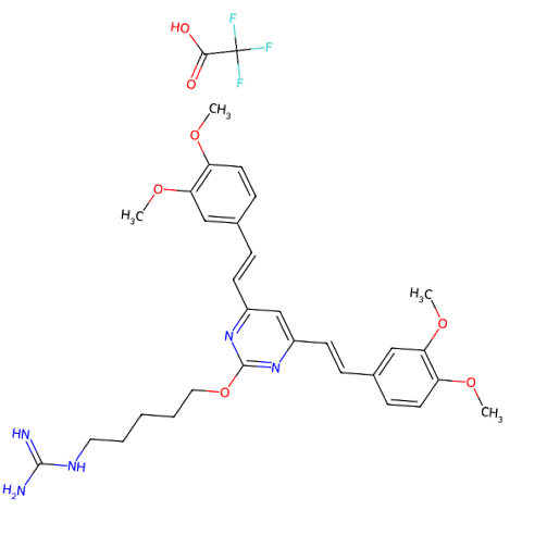 COc1ccc(C=Cc2cc(C=Cc3ccc(OC)c(OC)c3)nc(OCCCCCNC(=N)N)n2)cc1OC.O=C(O)C(F)(F)F